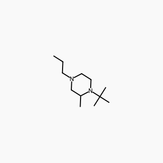 CCCN1CCN(C(C)(C)C)C(C)C1